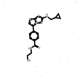 O=C(NCCO)c1ccc(-c2cnc3sc(NCC4CC4)nn23)cc1